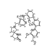 COc1nc(-c2cccc(-c3cccc(Nc4nccc(CN5CCC6(CCC(=O)N6)C5)c4F)c3Cl)c2Cl)ccc1C=O